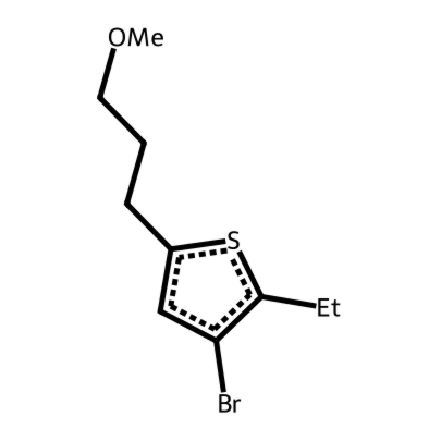 CCc1sc(CCCOC)cc1Br